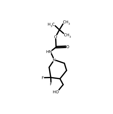 CC(C)(C)OC(=O)NN1CCC(CO)C(F)(F)C1